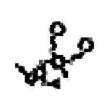 N#Cc1cc(Nc2nc(NC3CC3)c3ncc(C#N)n3n2)c(OCCN2CCOCC2)cc1OCCN1CCOCC1